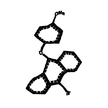 COc1ccc(Oc2c3ccccc3c(Br)c3ccccc23)cc1